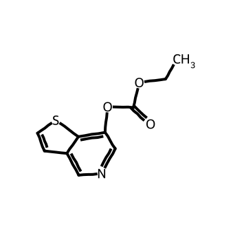 CCOC(=O)Oc1cncc2ccsc12